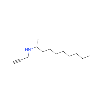 C#CCN[C@H](C)CCCCCCCC